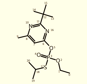 CCOP(=O)(Oc1cc(C)nc(C(C)(C)C)n1)SC(C)C